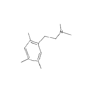 Cc1cc(C)c(CCN(C)C)cc1C